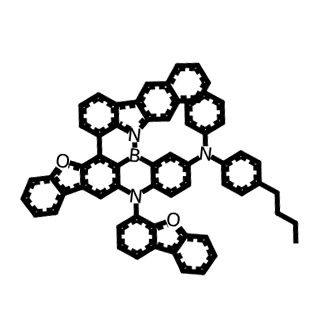 CCCCc1ccc(N(c2ccccc2)c2ccc3c(c2)B2c4c(cc5c(oc6ccccc65)c4-c4cccc5c6cc7ccccc7cc6n2c45)N3c2cccc3c2oc2ccccc23)cc1